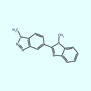 Cn1nnc2cc(-c3nc4ccccc4n3C)ccc21